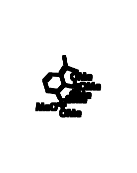 CO[Si](OC)(OC)C1=CC=CC(=C(C)C)C1[Si](OC)(OC)OC